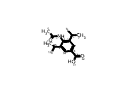 CC(=O)Nc1c(C(C)I)cc(C(=O)O)cc1C(C)I